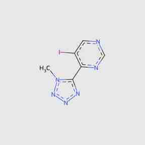 Cn1nnnc1-c1ncncc1I